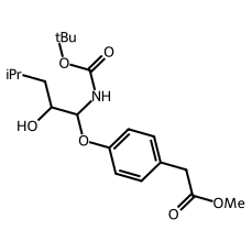 COC(=O)Cc1ccc(OC(NC(=O)OC(C)(C)C)C(O)CC(C)C)cc1